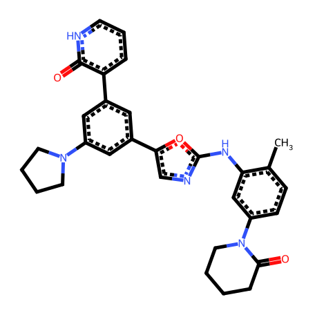 Cc1ccc(N2CCCCC2=O)cc1Nc1ncc(-c2cc(-c3ccc[nH]c3=O)cc(N3CCCC3)c2)o1